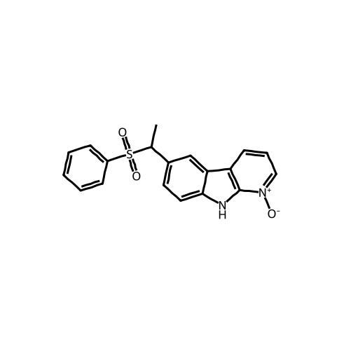 CC(c1ccc2[nH]c3c(ccc[n+]3[O-])c2c1)S(=O)(=O)c1ccccc1